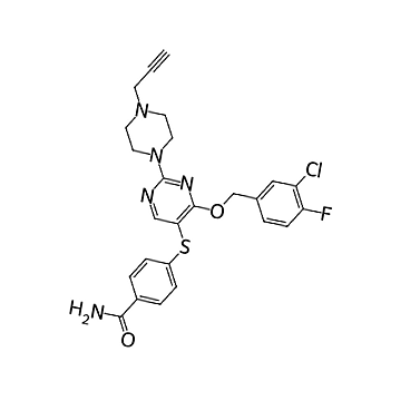 C#CCN1CCN(c2ncc(Sc3ccc(C(N)=O)cc3)c(OCc3ccc(F)c(Cl)c3)n2)CC1